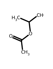 [CH]C(C)OC(C)=O